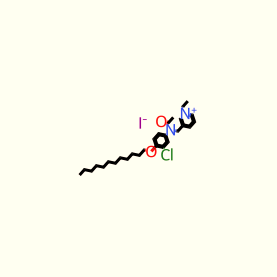 CCCCCCCCCCCCOc1ccc(N(Cc2ccc[n+](CC)c2)C(C)=O)cc1Cl.[I-]